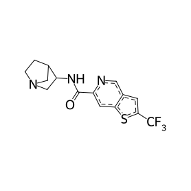 O=C(NC1CN2CCC1C2)c1cc2sc(C(F)(F)F)cc2cn1